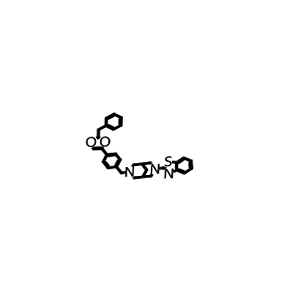 C1=C(c2ccc(CN3CC4CC(C3)CN(c3nc5ccccc5s3)C4)cc2)OC(Cc2ccccc2)O1